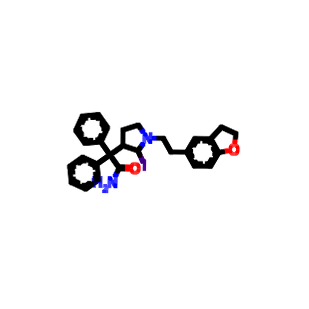 NC(=O)C(c1ccccc1)(c1ccccc1)C1CCN(CCc2ccc3c(c2)CCO3)C1I